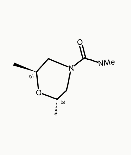 CNC(=O)N1C[C@H](C)O[C@@H](C)C1